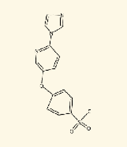 O=S(=O)(Cl)c1ccc(Oc2ccc(-n3ccnc3)nc2)cc1